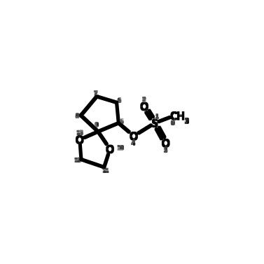 CS(=O)(=O)OC1CCCC12OCCO2